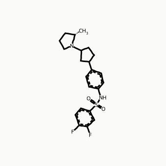 C[C@H]1CCCN1C1CCC(c2ccc(NS(=O)(=O)c3ccc(F)c(F)c3)cc2)C1